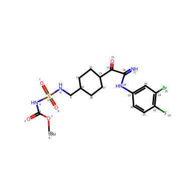 CC(C)(C)OC(=O)NS(=O)(=O)NCC1CCC(C(=O)C(=N)Nc2ccc(F)c(Br)c2)CC1